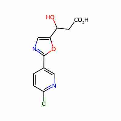 O=C(O)CC(O)c1cnc(-c2ccc(Cl)nc2)o1